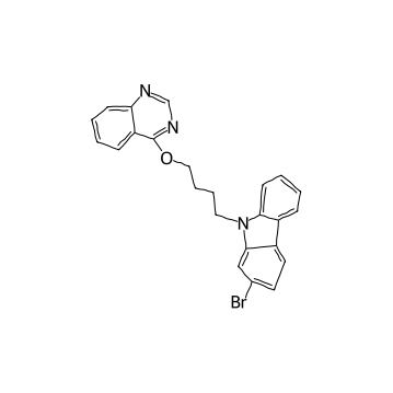 Brc1ccc2c3ccccc3n(CCCCOc3ncnc4ccccc34)c2c1